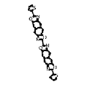 c1csc(-c2nc3cc4cc5oc(-c6nc7cc8cc9oc(-c%10cccs%10)nc9cc8cc7o6)nc5cc4cc3o2)c1